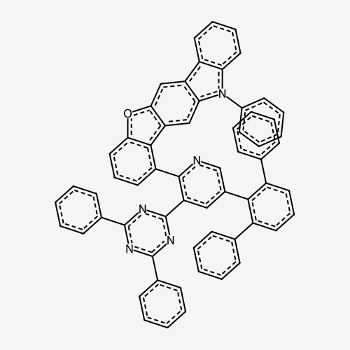 c1ccc(-c2nc(-c3ccccc3)nc(-c3cc(-c4c(-c5ccccc5)cccc4-c4ccccc4)cnc3-c3cccc4oc5cc6c7ccccc7n(-c7ccccc7)c6cc5c34)n2)cc1